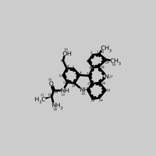 Cc1ccc2c(-c3cc(CO)cc(NC(=O)[C@H](C)N)c3N)c3ccccc3nc2c1C